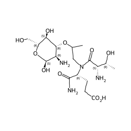 CC(CN(C(=O)[C@@H](N)[C@@H](C)O)[C@H](CCC(=O)O)C(N)=O)O[C@@H]1[C@@H](N)[C@@H](O)O[C@H](CO)[C@H]1O